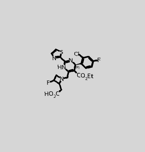 CCOC(=O)C1=C(CN2CC(F)C2CC(=O)O)NC(c2nccs2)=N[C@H]1c1ccc(F)cc1Cl